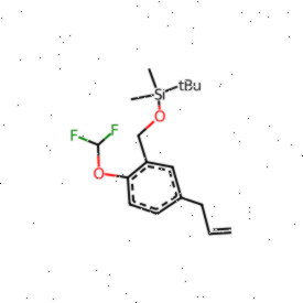 C=CCc1ccc(OC(F)F)c(CO[Si](C)(C)C(C)(C)C)c1